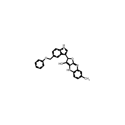 Cc1ccc2c(c1)N=C1OC(c3c[nH]c4ccc(COc5ccccc5)cc34)C(O)=C1N2